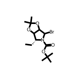 CC[C@@H]1C2OC(C)(C)OC2C(Br)N1C(=O)OC(C)(C)C